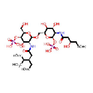 CCCCCCCCCCC[C@@H](O)CC(=O)N[C@H]1[C@@H](OP(=O)(O)O)O[C@H](CO[C@@H]2O[C@H](CO)[C@@H](OP(=O)(O)O)[C@H](O)[C@H]2NC(=O)C[C@@H](CCCCCCCCCCC)C(CCCCCCCCCC)C(=O)O)[C@@H](O)[C@@H]1O